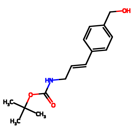 CC(C)(C)OC(=O)NC/C=C/c1ccc(CO)cc1